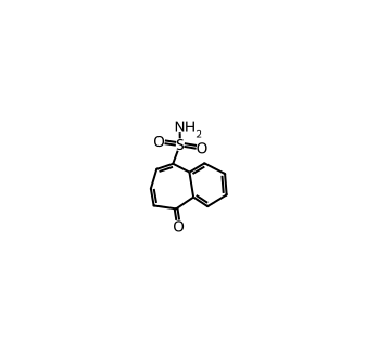 NS(=O)(=O)c1cccc(=O)c2ccccc12